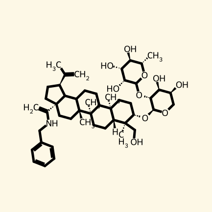 C=C(C)[C@@H]1CC[C@]2(C(=C)NCc3ccccc3)CC[C@]3(C)C(CCC4[C@@]5(C)CC[C@H](O[C@@H]6OC[C@H](O)[C@H](O)[C@H]6OC6O[C@@H](C)[C@H](O)[C@@H](O)[C@H]6O)[C@@](C)(CO)[C@@H]5CC[C@]43C)C12